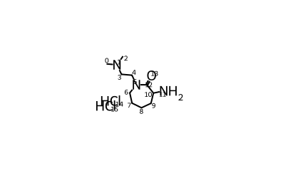 CN(C)CCN1CCCCC(N)C1=O.Cl.Cl